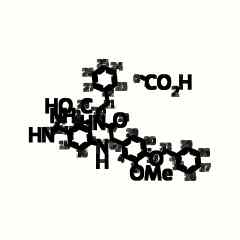 CC(=O)O.COc1cc([C@H](Nc2ccc(C(=N)N)cc2)C(=O)N[C@@H](Cc2ccccc2)C(=O)O)ccc1OCc1ccccc1